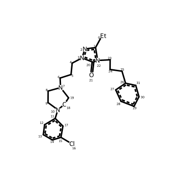 CCc1nn(CCCN2CCN(c3cccc(Cl)c3)CC2)c(=O)n1CCCc1ccccc1